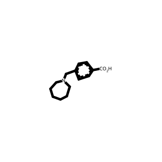 O=C(O)c1ccc(CN2CCCCCC2)cc1